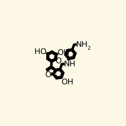 NCc1ccc(NC(=O)c2cc(O)cc3occ(-c4cc(O)cc(O)c4)c23)cc1